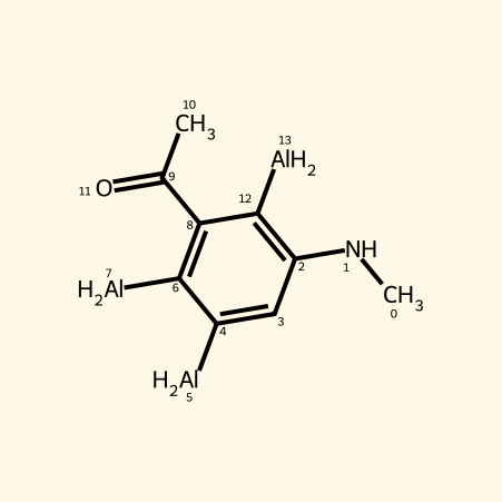 CNc1c[c]([AlH2])[c]([AlH2])c(C(C)=O)[c]1[AlH2]